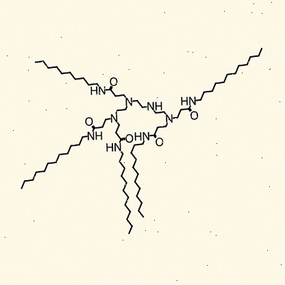 CCCCCCCCCCCCNC(=O)CCN(CCNCCN(CCC(=O)NCCCCCCCCCC)CCN(CCC(=O)NCCCCCCCCCCCC)CCC(=O)NCCCCCCCCCCCC)CCC(=O)NCCCCCCCCCCCC